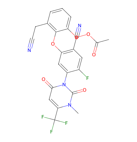 CC(=O)OOc1cccc(CC#N)c1Oc1cc(-n2c(=O)cc(C(F)(F)F)n(C)c2=O)c(F)cc1C#N